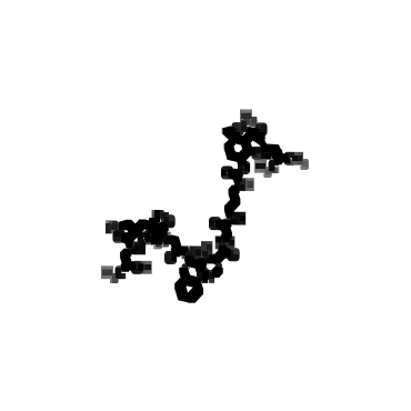 COC1C(OC(=O)NCCCNC(=O)CNC(=O)[C@H](CC(C)C)NC(=O)[C@H](Cc2ccccc2)NC(=O)CNC(=O)C(C)(CC(C)(CC(C)C)C(=O)NCC(C)O)C(C)C)CC[C@]2(CO2)C1C1(C)O[C@@H]1CC=C(C)C